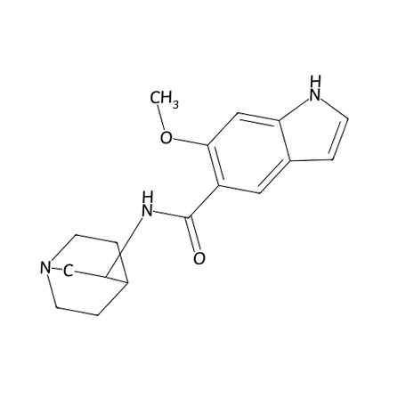 COc1cc2[nH]ccc2cc1C(=O)NC1CN2CCC1CC2